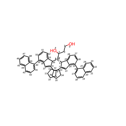 OCC[CH](O)[Hf]([CH]1C(C2CCCC2)=Cc2c(-c3cccc4ccccc34)cccc21)[CH]1C(C2CCCC2)=Cc2c(-c3cccc4ccccc34)cccc21